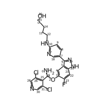 N[C@@H](Oc1cc2c(-c3ccc(NCCCSO)nc3)n[nH]c2cc1F)c1c(Cl)cncc1Cl